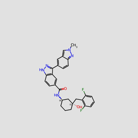 Cn1cc2cc(-c3n[nH]c4ccc(C(=O)N[C@@H]5CCC[C@](O)(Cc6c(F)cccc6F)C5)cc34)ccc2n1